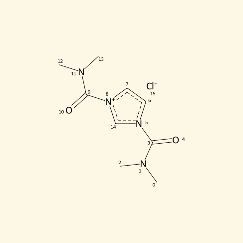 CN(C)C(=O)n1cc[n+](C(=O)N(C)C)c1.[Cl-]